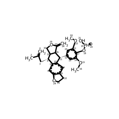 C=C(C)C[C@H]1c2cc3c(cc2[C@@H](c2cc(OC)c(O[PH](=O)O)c(OC)c2)C2C(=C)OCC21)CCO3